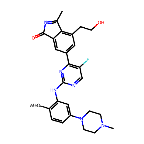 COc1ccc(N2CCN(C)CC2)cc1Nc1ncc(F)c(-c2cc(CCO)c3c(c2)C(=O)N=C3C)n1